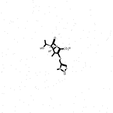 CC(O)[C@H]1C(=O)N2C(C(=O)O)=C(SCC3=CSNN3C)C(C)[C@@H]12